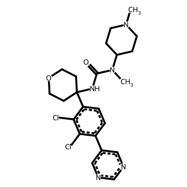 CN1CCC(N(C)C(=O)NC2(c3ccc(-c4cncnc4)c(Cl)c3Cl)CCOCC2)CC1